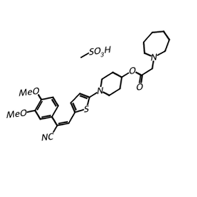 COc1ccc(C(C#N)=Cc2ccc(N3CCC(OC(=O)CN4CCCCCC4)CC3)s2)cc1OC.CS(=O)(=O)O